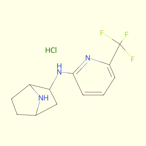 Cl.FC(F)(F)c1cccc(NC2CC3CCC2N3)n1